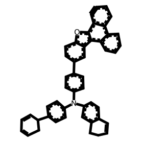 c1ccc2c(c#1)c1oc3ccc(-c4ccc(N(c5ccc(C6C=CC=CC6)cc5)c5ccc6c(c5)CCC=C6)cc4)cc3c1c1ccccc21